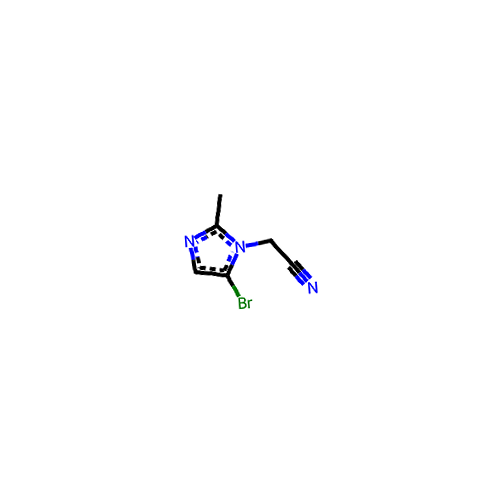 Cc1ncc(Br)n1CC#N